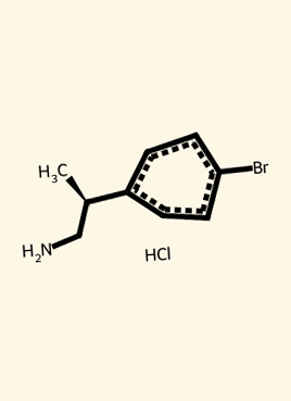 C[C@H](CN)c1ccc(Br)cc1.Cl